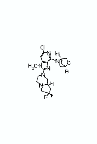 Cn1c(N2CCN3CC(F)(F)C[C@H]3C2)nc2c(N3C[C@H]4C[C@@H]3CO4)nc(Cl)cc21